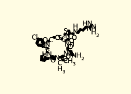 CC(C)[C@@H]1NC(=O)[C@H](Cc2cccs2)NC[C@H](Cc2ccc(Cl)cc2)NC(=O)CCCSC[C@@H](C(=O)N2CSC[C@H]2C(=O)NCCCCNC(=N)N)NC(=O)[C@H](CC(N)=O)NC1=O